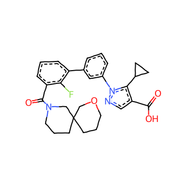 O=C(O)c1cnn(-c2cccc(-c3cccc(C(=O)N4CCCC5(CCCOC5)C4)c3F)c2)c1C1CC1